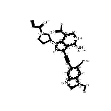 C=CC(=O)N1CC[C@H](n2nc(C#Cc3cc4ncn(CC)c4cc3F)c3c(N)ncc(C(C)=O)c32)C1